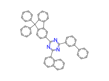 c1ccc(-c2cccc(-c3nc(-c4ccc5c(c4)-c4ccccc4C5(c4ccccc4)c4ccccc4)nc(-c4cccc5ccccc45)n3)c2)cc1